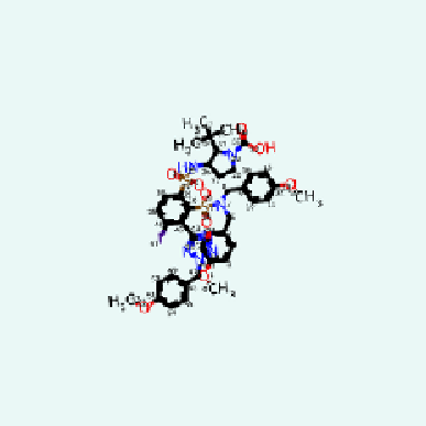 COc1ccc(CN(Cc2ccc(OC)cc2)S(=O)(=O)c2c(S(=O)(=O)NC3CCN(C(=O)O)C3C(C)(C)C)ccc(I)c2-c2nnn(Cc3ccc(OC)cc3)n2)cc1